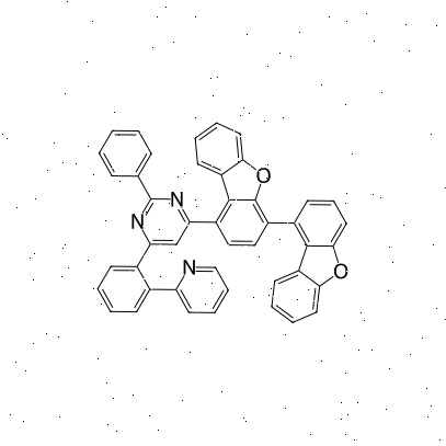 c1ccc(-c2nc(-c3ccccc3-c3ccccn3)cc(-c3ccc(-c4cccc5oc6ccccc6c45)c4oc5ccccc5c34)n2)cc1